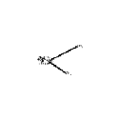 CCCCCCCCCCCCCCCCCCCCCCCC(=O)N[C@@H](COC1OC(CO)C(O)C(O)C1O)[C@H](O)CCCCCCCCCCCCCCC